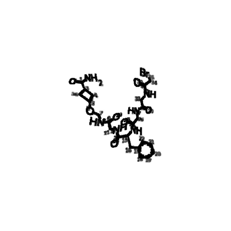 NC(=O)[C@H]1C[C@@H](OCNC(=O)CNC(=O)[C@H](Cc2ccccc2)NC(=O)CNC(=O)CNC(=O)CBr)C1